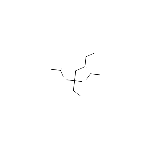 [CH2]CC(CCCC)(OCC)OCC